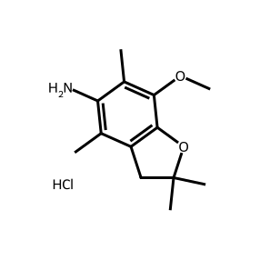 COc1c(C)c(N)c(C)c2c1OC(C)(C)C2.Cl